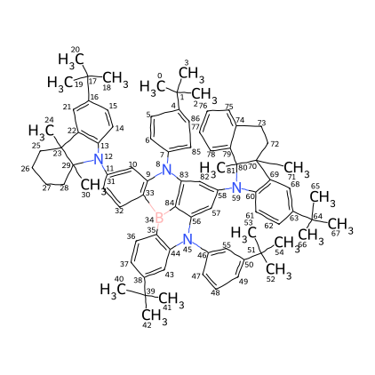 CC(C)(C)c1ccc(N2c3cc(N4c5ccc(C(C)(C)C)cc5C5(C)CCCCC45C)ccc3B3c4ccc(C(C)(C)C)cc4N(c4cccc(C(C)(C)C)c4)c4cc(N5c6ccc(C(C)(C)C)cc6C6(C)CCc7ccccc7C56C)cc2c43)cc1